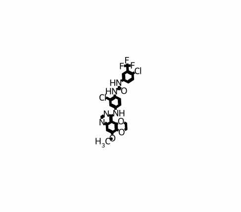 COc1cc2ncnc(Nc3ccc(NC(=O)Nc4ccc(Cl)c(C(F)(F)F)c4)c(Cl)c3)c2c2c1OCCO2